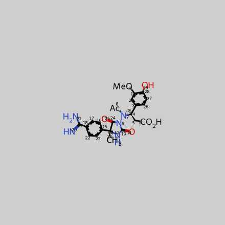 COc1cc([C@@H](CC(=O)O)N(C(C)=O)N2C(=O)N[C@](C)(c3ccc(C(=N)N)cc3)C2=O)ccc1O